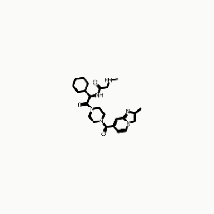 CNCC(=O)NC(C(=O)N1CCN(C(=O)c2ccn3cc(C)nc3c2)CC1)C1CCCCC1